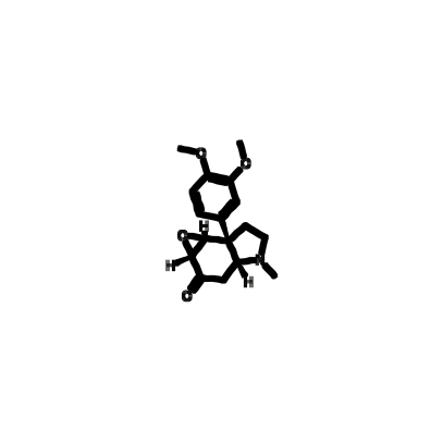 COc1ccc([C@@]23CCN(C)[C@@H]2CC(=O)[C@@H]2O[C@@H]23)cc1OC